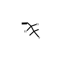 C=CC(CC)(CC)C(C)(C)F